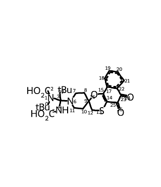 CC(C)(C)N(C(=O)O)C(NC(=O)O)(N1CCC2(CC1)CSC1=C(O2)c2ccccc2C(=O)C1=O)C(C)(C)C